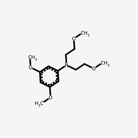 COCCN(CCOC)c1cc(OC)cc(OC)c1